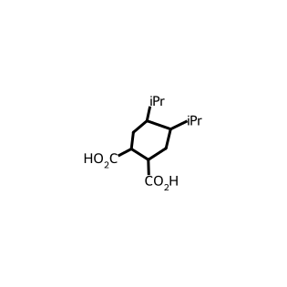 CC(C)C1CC(C(=O)O)C(C(=O)O)CC1C(C)C